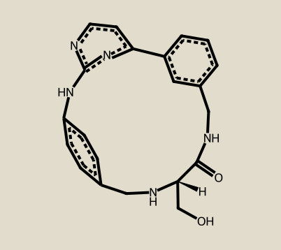 O=C1NCc2cccc(c2)-c2ccnc(n2)Nc2ccc(cc2)CN[C@H]1CO